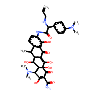 C=CCNC(C(=O)Nc1ccc2c(c1O)C(=O)C1=C(O)C3(O)C(=O)C(C(N)=O)=C(O)[C@@H](N(C)C)C3C(O)C1C2C)c1ccc(N(C)C)cc1